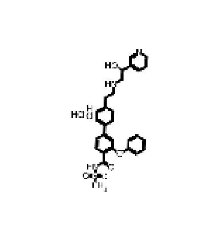 CS(=O)(=O)NC(=O)c1ccc(-c2ccc(CCNC[C@@H](O)c3cccnc3)cc2)cc1Oc1ccccc1.Cl.Cl